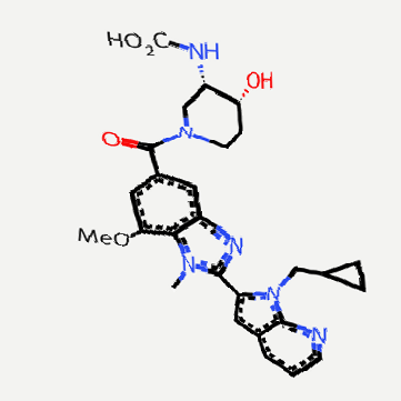 COc1cc(C(=O)N2CC[C@@H](O)[C@@H](NC(=O)O)C2)cc2nc(-c3cc4cccnc4n3CC3CC3)n(C)c12